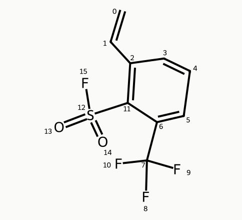 C=Cc1cccc(C(F)(F)F)c1S(=O)(=O)F